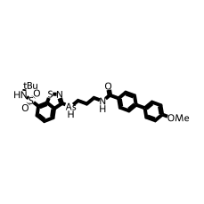 COc1ccc(-c2ccc(C(=O)NCCC[AsH]c3nsc4c(S(=O)(=O)NC(C)(C)C)cccc34)cc2)cc1